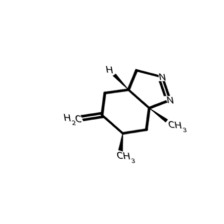 C=C1C[C@@H]2CN=N[C@]2(C)C[C@H]1C